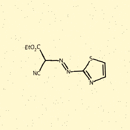 CCOC(=O)C(C#N)N=Nc1nccs1